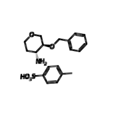 Cc1ccc(S(=O)(=O)O)cc1.N[C@@H]1CCOC[C@H]1OCc1ccccc1